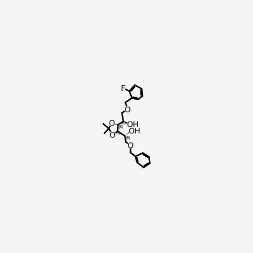 CC1(C)O[C@H]([C@H](O)COCc2ccccc2)[C@@H]([C@H](O)COCc2ccccc2F)O1